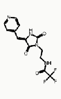 O=C1N/C(=C\c2ccncc2)C(=O)N1CCNC(=O)C(F)(F)F